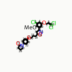 COc1c(Cl)cc(OCC=C(Cl)Cl)cc1C1=NOC(CCCOc2ccc(N3CCCC3=O)cc2)C1